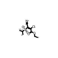 CCOC(=O)C(Cl)=C(C#N)S(=O)(=O)C(C)C